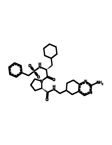 Nc1ncc2c(n1)CCC(CNC(=O)[C@@H]1CCCN1C(=O)[C@@H](CC1CCCCC1)NS(=O)(=O)Cc1ccccc1)C2